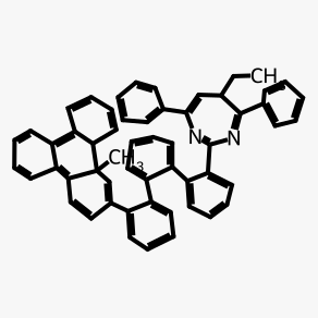 CCC1C=C(c2ccccc2)N=C(c2ccccc2-c2ccccc2-c2ccccc2C2=CC3(C)C(=c4ccccc4=C4C=CC=CC43)C=C2)N=C1c1ccccc1